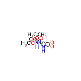 CC(C)OC(=O)NN(C(=O)OC(C)C)[C@H]1CNc2cc3c(cc2C1)OCO3